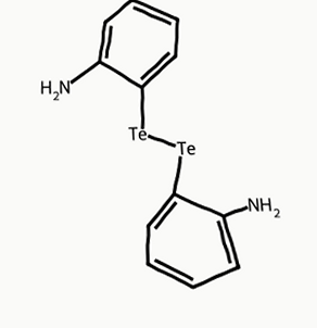 Nc1ccccc1[Te][Te]c1ccccc1N